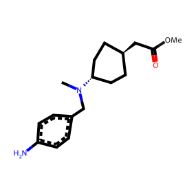 COC(=O)C[C@H]1CC[C@H](N(C)Cc2ccc(N)cc2)CC1